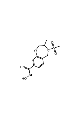 CC1COc2cc(C(=N)NO)ccc2CN1S(C)(=O)=O